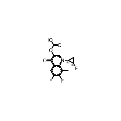 Cc1c(F)c(F)cc2c(=O)c(OC(=O)O)cn([C@@H]3C[C@H]3F)c12